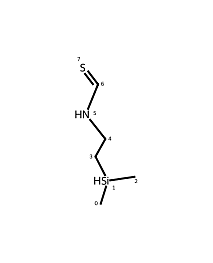 C[SiH](C)CCNC=S